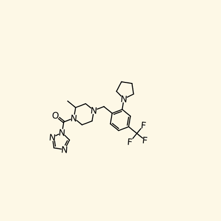 CC1CN(Cc2ccc(C(F)(F)F)cc2N2CCCC2)CCN1C(=O)n1cncn1